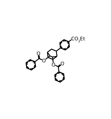 CCOC(=O)c1ccc(C2CC3CCC2C(OC(=O)c2ccccc2)C3OC(=O)c2ccccc2)cc1